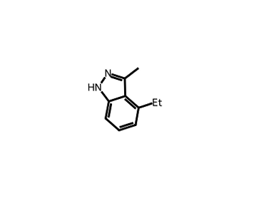 CCc1cccc2[nH]nc(C)c12